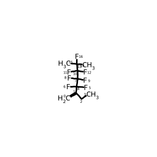 C=C(CC)C(F)(F)C(F)(F)C(F)(F)C(C)(C)F